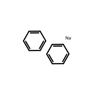 [Na].c1ccccc1.c1ccccc1